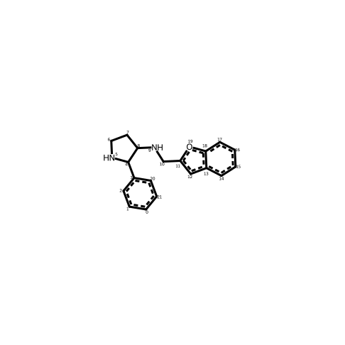 c1ccc(C2NCCC2NCc2cc3ccccc3o2)cc1